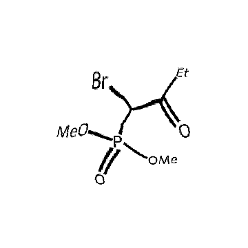 CCC(=O)C(Br)P(=O)(OC)OC